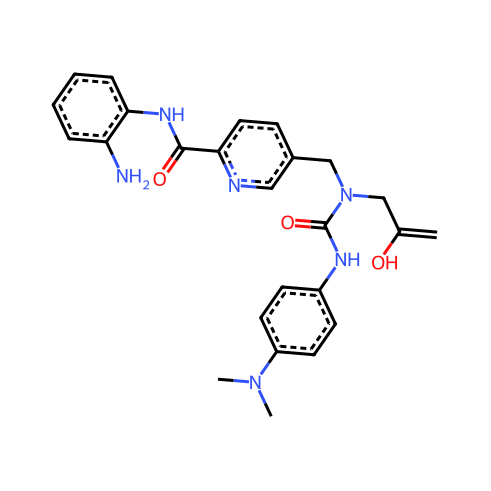 C=C(O)CN(Cc1ccc(C(=O)Nc2ccccc2N)nc1)C(=O)Nc1ccc(N(C)C)cc1